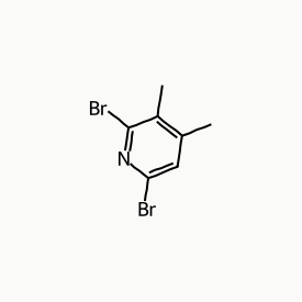 Cc1cc(Br)nc(Br)c1C